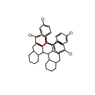 Clc1ccc(P(c2ccc(Cl)cc2)C2CCC3CCCCC3[C]2[C]2C3CCCCC3CCC2P(c2ccc(Cl)cc2)c2ccc(Cl)cc2)cc1